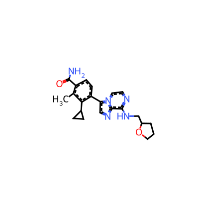 Cc1c(C(N)=O)ccc(-c2cnc3c(NCC4CCCO4)nccn23)c1C1CC1